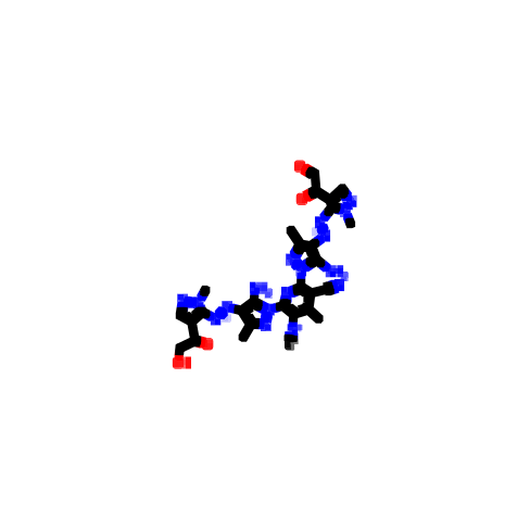 [C-]#[N+]c1c(-n2nc(C)c(/N=N/c3c(C(=O)CO)cnn3C)c2N)nc(-n2nc(C)c(/N=N/c3c(C(=O)C=O)cnn3C)c2N)c(C#N)c1C